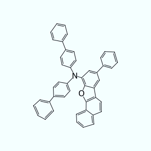 c1ccc(-c2ccc(N(c3ccc(-c4ccccc4)cc3)c3cc(-c4ccccc4)cc4c3oc3c5ccccc5ccc43)cc2)cc1